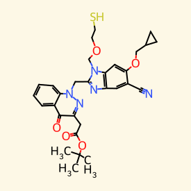 CC(C)(C)OC(=O)Cc1nn(Cc2nc3cc(C#N)c(OCC4CC4)cc3n2COCCS)c2ccccc2c1=O